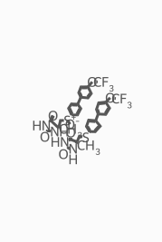 CC1(CSc2ccc(-c3ccc(OC(F)(F)F)cc3)cc2)NC(=O)NC1=O.CC1(C[S+]([O-])c2ccc(-c3ccc(OC(F)(F)F)cc3)cc2)NC(=O)NC1=O